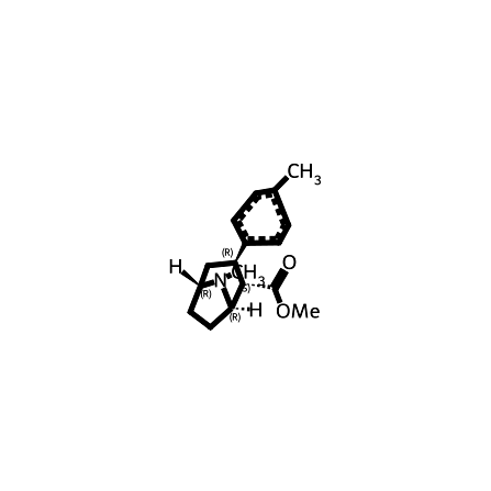 COC(=O)[C@@H]1[C@H]2CC[C@H](C[C@H]1c1ccc(C)cc1)N2C